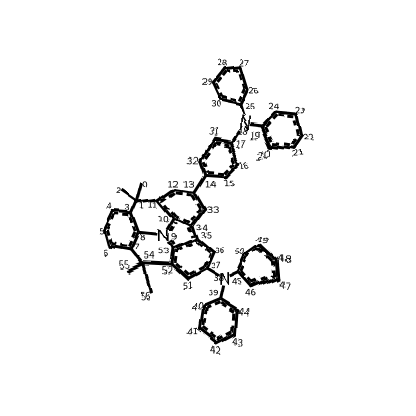 CC1(C)c2cccc3c2-n2c4c1cc(-c1ccc(N(c5ccccc5)c5ccccc5)cc1)cc4c1cc(N(c4ccccc4)c4ccccc4)cc(c12)C3(C)C